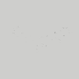 O=C(c1ccc(-c2cccc(F)c2)cc1)N1CCC(c2nc3ccccc3[nH]2)CC1